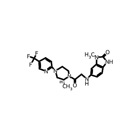 C[C@@H]1CN(c2ccc(C(F)(F)F)cn2)CCN1C(=O)CNc1ccc2[nH]c(=O)n(C)c2c1